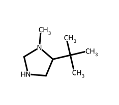 CN1CNCC1C(C)(C)C